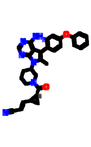 Cc1c(-c2ccc(Oc3ccccc3)cc2)c2c(N)ncnc2n1C1CCCN(C(=O)[C@H]2CC2C=CC#N)C1